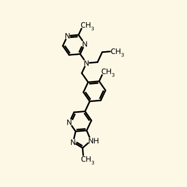 CCCN(Cc1cc(-c2cnc3nc(C)[nH]c3c2)ccc1C)c1ccnc(C)n1